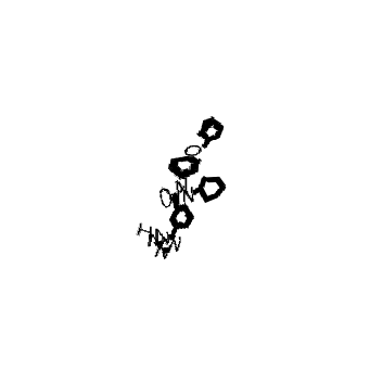 O=c1c2cc(-c3nnn[nH]3)ccc2n(C2CCCCC2)n1-c1ccc(OCc2ccccc2)cc1